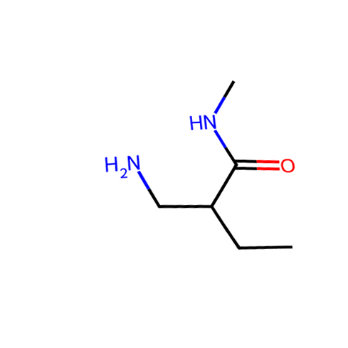 CCC(CN)C(=O)NC